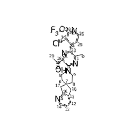 Cc1nc(N2CCC3(CC2)Cc2cccnc2C3)c(C(C)O)nc1-c1ccnc(C(F)(F)F)c1Cl